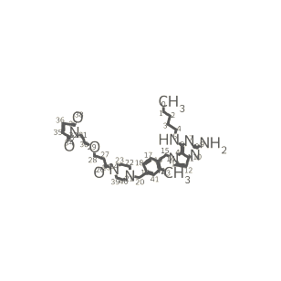 CCCCCNc1nc(N)nc2ccn(Cc3ccc(CN4CCN(C(=O)CCOCCN5C(=O)C=CC5=O)CC4)cc3C)c12